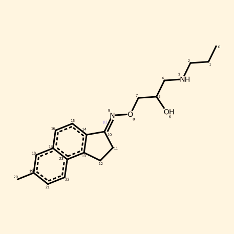 CCCNCC(O)CO/N=C1\CCc2c1ccc1cc(C)ccc21